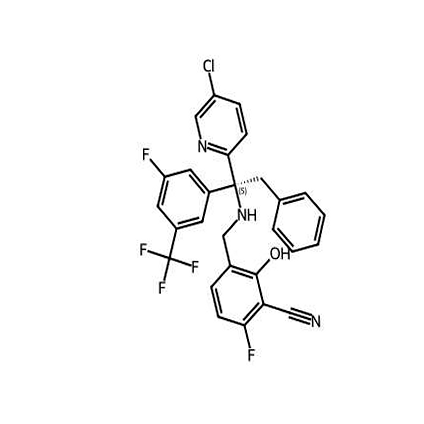 N#Cc1c(F)ccc(CN[C@@](Cc2ccccc2)(c2cc(F)cc(C(F)(F)F)c2)c2ccc(Cl)cn2)c1O